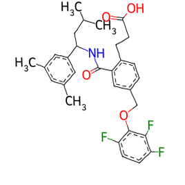 Cc1cc(C)cc(C(CC(C)C)NC(=O)c2cc(COc3c(F)ccc(F)c3F)ccc2CCC(=O)O)c1